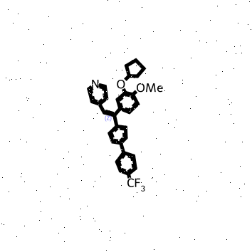 COc1ccc(/C(=C\c2ccncc2)c2ccc(-c3ccc(C(F)(F)F)cc3)cc2)cc1OC1CCCC1